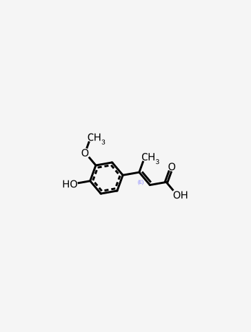 COc1cc(/C(C)=C/C(=O)O)ccc1O